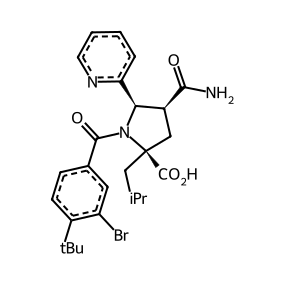 CC(C)C[C@@]1(C(=O)O)C[C@H](C(N)=O)[C@H](c2ccccn2)N1C(=O)c1ccc(C(C)(C)C)c(Br)c1